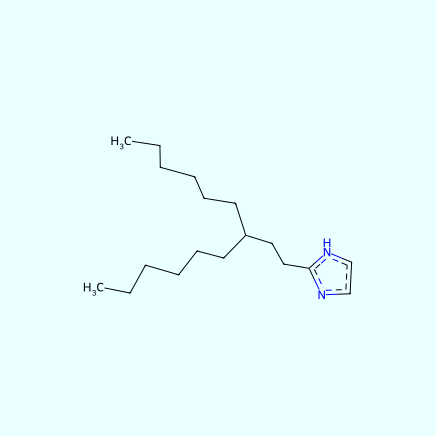 CCCCCCC(CCCCCC)CCc1ncc[nH]1